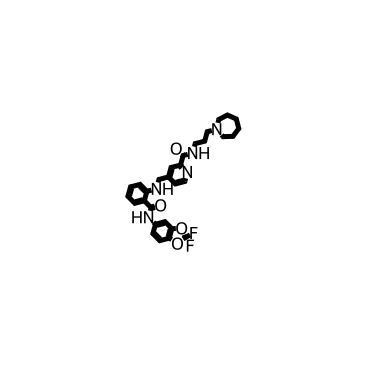 O=C(NCCCN1CCCCCC1)c1cc(CNc2ccccc2C(=O)Nc2ccc3c(c2)OC(F)(F)O3)ccn1